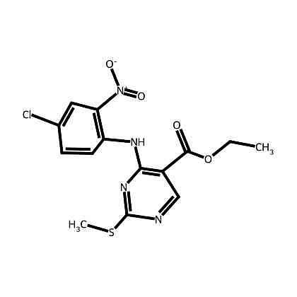 CCOC(=O)c1cnc(SC)nc1Nc1ccc(Cl)cc1[N+](=O)[O-]